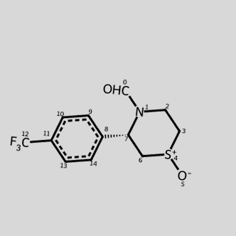 O=CN1CC[S+]([O-])C[C@@H]1c1ccc(C(F)(F)F)cc1